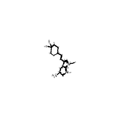 Cn1cc(C=CC2CCC(F)(F)CC2)c2cc(N)cnc21